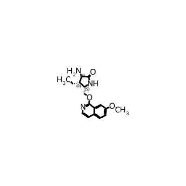 CC[C@H]1[C@@H](COc2nccc3ccc(OC)cc23)NC(=O)[C@@H]1N